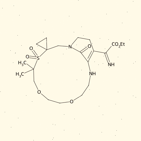 CCOC(=O)C(=N)C1=C2NCCOCCOCC(C)(C)S(=O)(=O)C3(CC3)CN(CC1)C2=O